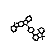 CC1(C)c2ccccc2-c2c(-c3ccc(-n4c5ccccc5c5cc6oc7ccccc7c6cc54)cc3)cccc21